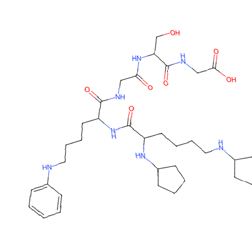 O=C(O)CNC(=O)C(CO)NC(=O)CNC(=O)C(CCCCNc1ccccc1)NC(=O)C(CCCCNC1CCCC1)NC1CCCC1